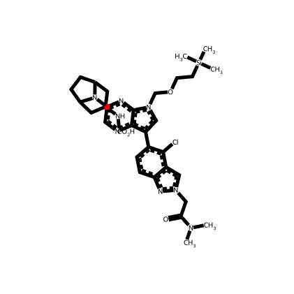 CN(C)C(=O)Cn1cc2c(Cl)c(-c3cn(COCC[Si](C)(C)C)c4nc(N5C6CCC5CC(NC(=O)O)C6)cnc34)ccc2n1